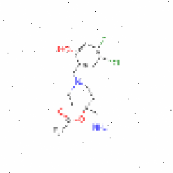 NCC1(OC(=O)C(F)(F)F)CCN(Cc2cc(Cl)c(Cl)cc2O)CC1